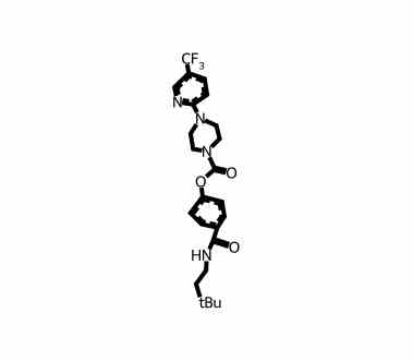 CC(C)(C)CCNC(=O)c1ccc(OC(=O)N2CCN(c3ccc(C(F)(F)F)cn3)CC2)cc1